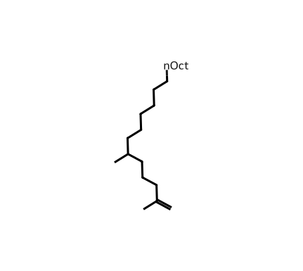 C=C(C)CCCC(C)CCCCCCCCCCCCCC